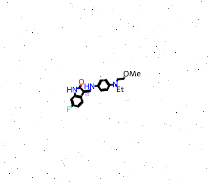 CCN(CCOC)c1ccc(N/C=C2\C(=O)Nc3cc(F)ccc32)cc1